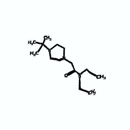 CCN(CC)C(=O)CN1CCN(C(C)(C)C)CC1